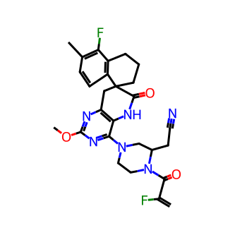 C=C(F)C(=O)N1CCN(c2nc(OC)nc3c2NC(=O)C2(CCCc4c2ccc(C)c4F)C3)CC1CC#N